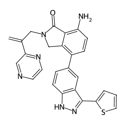 C=C(CN1Cc2c(-c3ccc4[nH]nc(-c5cccs5)c4c3)ccc(N)c2C1=O)c1cnccn1